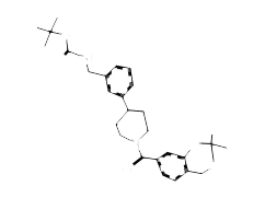 CC(C)(C)OC(=O)NCc1cccc(C2CCN(C(=O)c3ccc4c(c3)OC(C)(C)OC4)CC2)c1